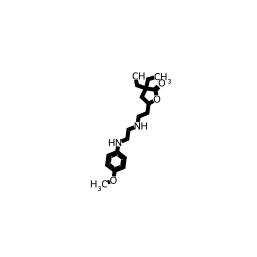 CCC1(CC)CC(CCNCCNc2ccc(OC)cc2)OC1=O